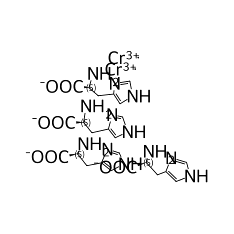 N[C@@H](Cc1c[nH]cn1)C(=O)[O-].N[C@@H](Cc1c[nH]cn1)C(=O)[O-].N[C@@H](Cc1c[nH]cn1)C(=O)[O-].N[C@@H](Cc1c[nH]cn1)C(=O)[O-].[Cr+3].[Cr+3]